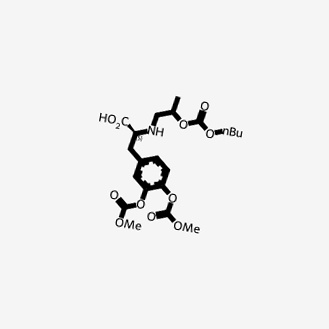 CCCCOC(=O)OC(C)CN[C@@H](Cc1ccc(OC(=O)OC)c(OC(=O)OC)c1)C(=O)O